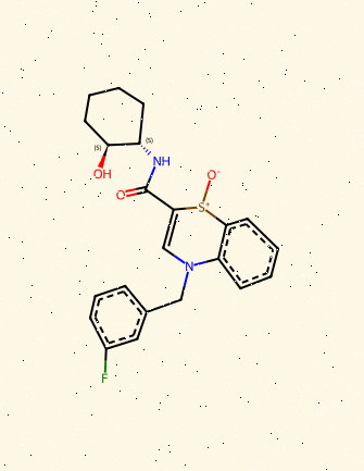 O=C(N[C@H]1CCCC[C@@H]1O)C1=CN(Cc2cccc(F)c2)c2ccccc2[S+]1[O-]